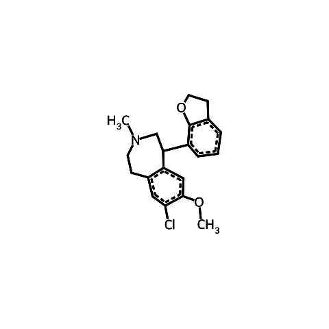 COc1cc2c(cc1Cl)CCN(C)CC2c1cccc2c1OCC2